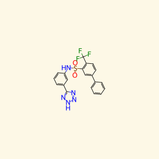 O=S(=O)(Nc1cccc(-c2nn[nH]n2)c1)c1cc(-c2ccccc2)ccc1C(F)(F)F